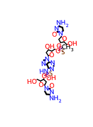 CP(=S)(OCC1OC(n2cnc3c(NP(O)(=S)OC4CC(n5ccc(N)nc5=O)OC4CO)ncnc32)CC1O)OC1CC(n2ccc(N)nc2=O)OC1CO